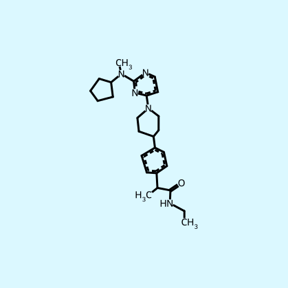 CCNC(=O)C(C)c1ccc(C2CCN(c3ccnc(N(C)C4CCCC4)n3)CC2)cc1